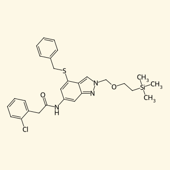 C[Si](C)(C)CCOCn1cc2c(SCc3ccccc3)cc(NC(=O)Cc3ccccc3Cl)cc2n1